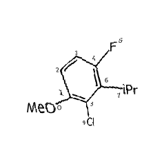 COc1ccc(F)c(C(C)C)c1Cl